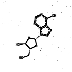 OC[C@H]1O[C@@H](n2cnc3c(O)ncnc32)O[C@@H]1O